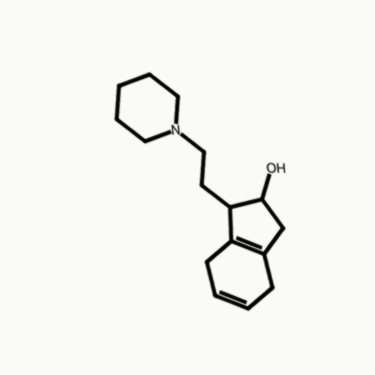 OC1CC2=C(CC=CC2)C1CCN1CCCCC1